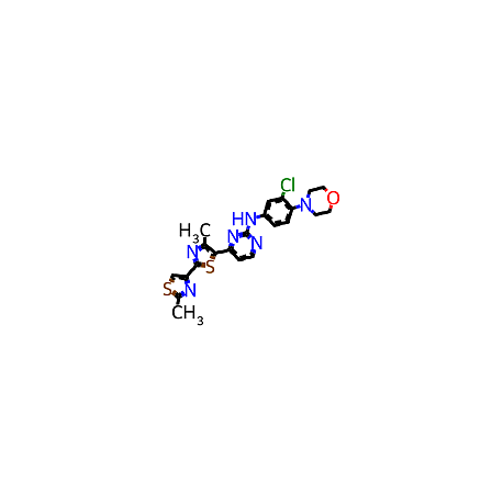 Cc1nc(-c2nc(C)c(-c3ccnc(Nc4ccc(N5CCOCC5)c(Cl)c4)n3)s2)cs1